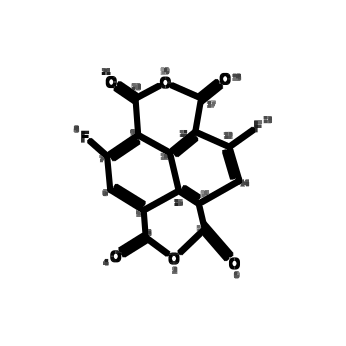 O=C1OC(=O)c2cc(F)c3c4c(c(F)cc1c24)C(=O)OC3=O